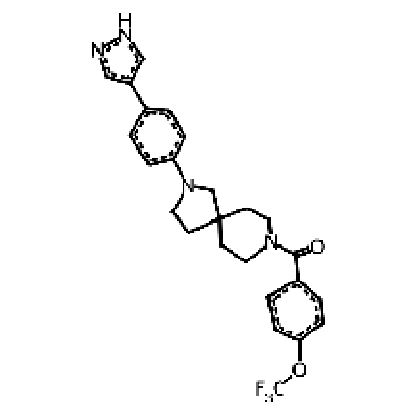 O=C(c1ccc(OC(F)(F)F)cc1)N1CCC2(CC1)CCN(c1ccc(-c3cn[nH]c3)cc1)C2